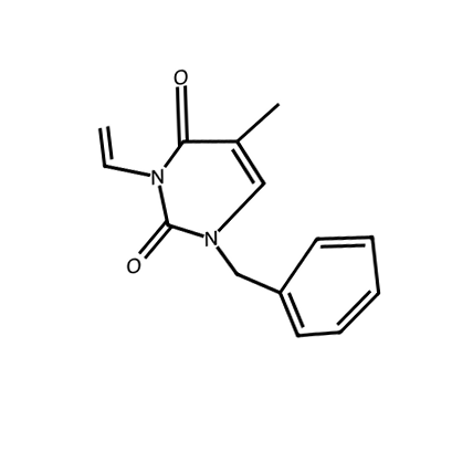 C=Cn1c(=O)c(C)cn(Cc2ccccc2)c1=O